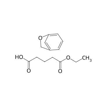 CCOC(=O)CCCC(=O)O.c1cc2cc(c1)OC2